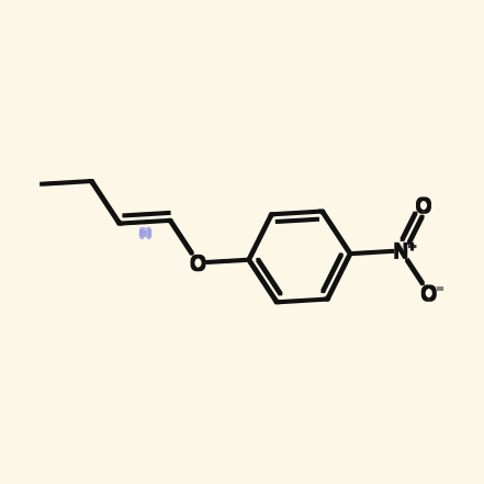 CC/C=C/Oc1ccc([N+](=O)[O-])cc1